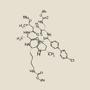 C[C@H](NC(=O)[C@@H](NC(=O)[C@H](CNC(=O)OC(C)(C)C)NC(=O)c1ccc(-c2ccc(Cl)cc2)cc1)[C@@H](C)OC(C)(C)C)C(=O)N[C@@H](CCCCNC(=O)OC(C)(C)C)C(=O)N[C@@H](C)CC=O